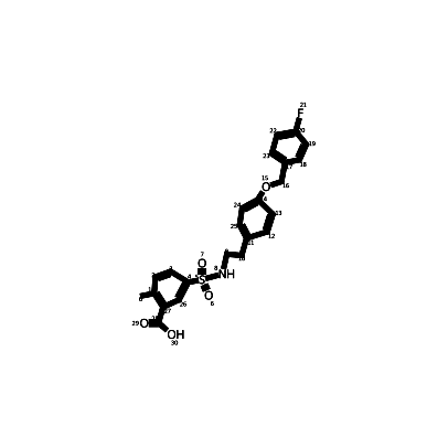 Cc1ccc(S(=O)(=O)NCCc2ccc(OCc3ccc(F)cc3)cc2)cc1C(=O)O